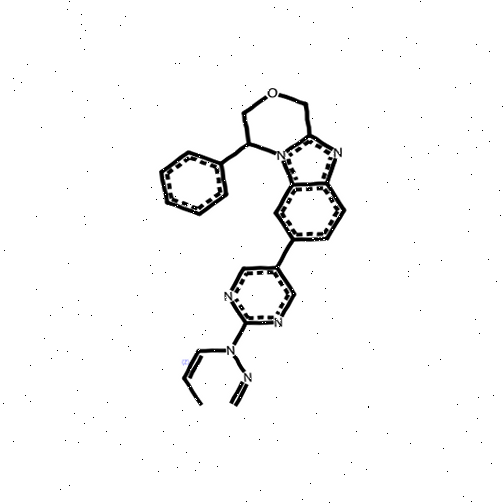 C=NN(/C=C\C)c1ncc(-c2ccc3nc4n(c3c2)C(c2ccccc2)COC4)cn1